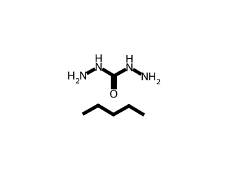 CCCCC.NNC(=O)NN